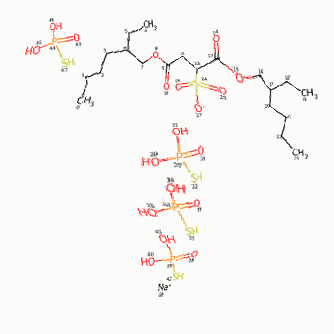 CCCCC(CC)COC(=O)CC(C(=O)OCC(CC)CCCC)S(=O)(=O)[O-].O=P(O)(O)S.O=P(O)(O)S.O=P(O)(O)S.O=P(O)(O)S.[Na+]